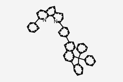 c1ccc(-c2ccc3ccc4ccc(-c5ccc(-c6ccc7c8c(ccc7c6)-c6ccccc6C8(c6ccccc6)c6ccccc6)cc5)nc4c3n2)cc1